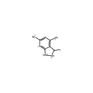 CC(C)c1cc(C#N)nc2c1C(C)NN2